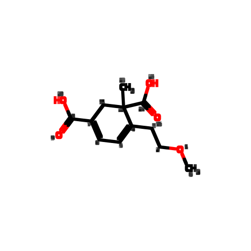 COCCC1=CC=C(C(=O)O)CC1(C)C(=O)O